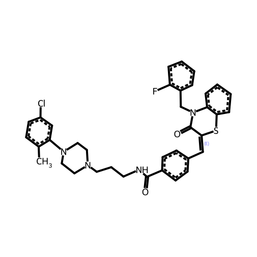 Cc1ccc(Cl)cc1N1CCN(CCCNC(=O)c2ccc(/C=C3/Sc4ccccc4N(Cc4ccccc4F)C3=O)cc2)CC1